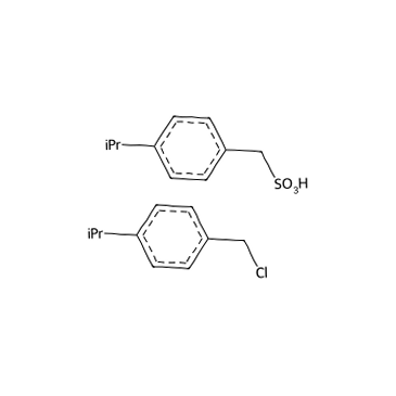 CC(C)c1ccc(CCl)cc1.CC(C)c1ccc(CS(=O)(=O)O)cc1